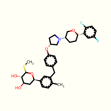 CS[C@H]1O[C@@H](c2ccc(C)c(Cc3ccc(O[C@@H]4CCN([C@H]5CC[C@@H](c6cc(F)ccc6F)OC5)C4)cc3)c2)C[C@@H](O)[C@@H]1O